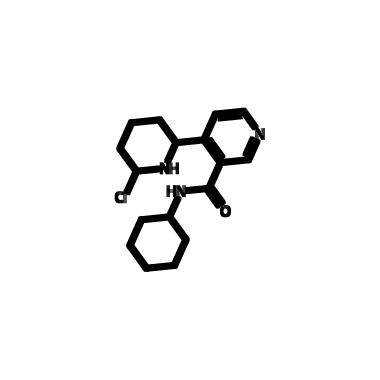 O=C(NC1CCCCC1)c1cnccc1C1CCCC(Cl)N1